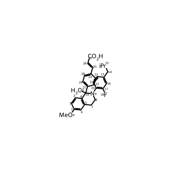 COc1ccc2c(c1)CCN(c1ccc(CC(C)C)cc1F)C2(C)c1ccc(/C=C/C(=O)O)cc1